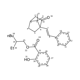 CC1(C)C2CCC1(C=Cc1ccccc1)C(=O)C2.CCCCC(CC)COC(=O)c1ccccc1O